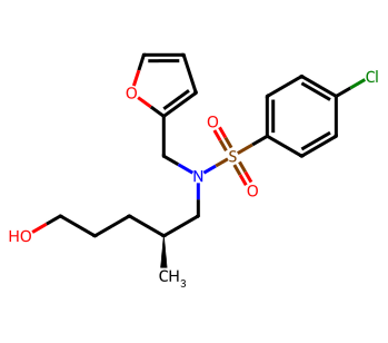 C[C@@H](CCCO)CN(Cc1ccco1)S(=O)(=O)c1ccc(Cl)cc1